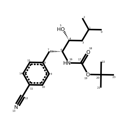 CC(C)C[C@@H](O)[C@@H](Cc1ccc(C#N)cc1)NC(=O)OC(C)(C)C